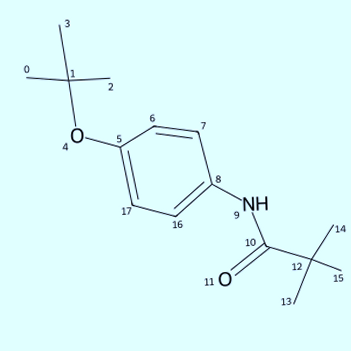 CC(C)(C)Oc1ccc(NC(=O)C(C)(C)C)cc1